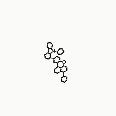 c1ccc(-c2ccc3c4c(cccc24)-c2cc(-c4cccc5c6ccccc6n(-c6ccccc6)c45)ccc2O3)cc1